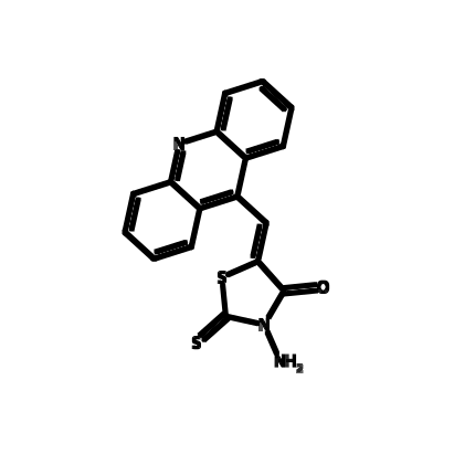 NN1C(=O)C(=Cc2c3ccccc3nc3ccccc23)SC1=S